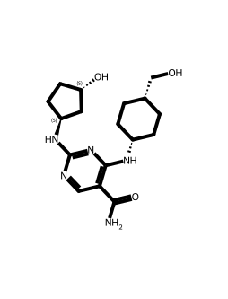 NC(=O)c1cnc(N[C@H]2CC[C@H](O)C2)nc1N[C@H]1CC[C@@H](CO)CC1